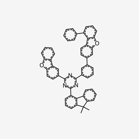 CC1(C)c2ccccc2-c2c(-c3nc(-c4cccc(-c5ccc6c(c5)oc5cccc(-c7ccccc7)c56)c4)nc(-c4ccc5oc6ccccc6c5c4)n3)cccc21